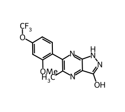 COc1cc(OC(F)(F)F)ccc1-c1nc2[nH]nc(O)c2nc1C